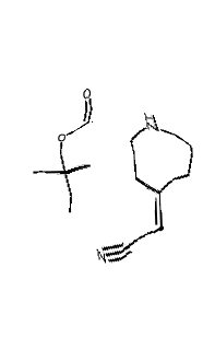 CC(C)(C)O[C]=O.N#CC=C1CCNCC1